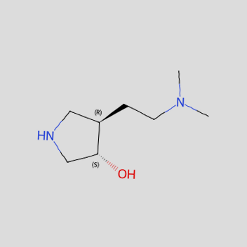 CN(C)CC[C@@H]1CNC[C@H]1O